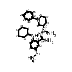 CNSc1ccc(NC2CCCCC2)c(/C(N)=N/N(N)C2CCCN(c3ccccc3)C2)c1